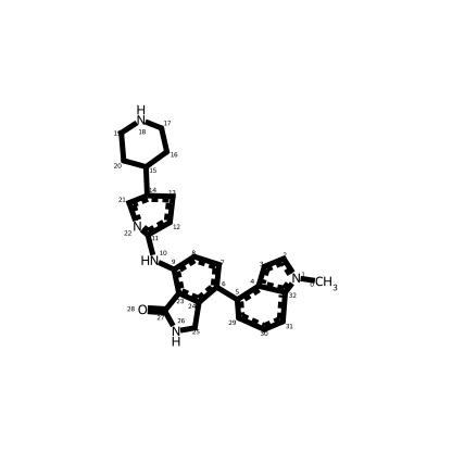 Cn1ccc2c(-c3ccc(Nc4ccc(C5CCNCC5)cn4)c4c3CNC4=O)cccc21